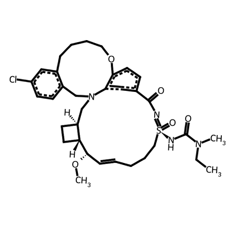 CCN(C)C(=O)N[S@]1(=O)=NC(=O)c2ccc3c(c2)N(Cc2ccc(Cl)cc2CCCCO3)C[C@@H]2CC[C@H]2[C@@H](OC)/C=C/CCC1